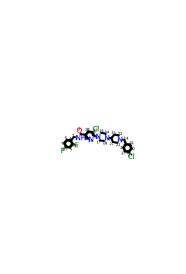 O=C(NCc1ccc(F)cc1F)c1cnc(N2CCN(C3CCN(Cc4ccc(Cl)cc4)CC3)CC2)c(Cl)c1